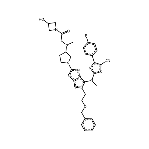 CN(c1nc(-c2ccc(F)cc2)c(C#N)s1)c1c(CCOCc2ccccc2)nc2sc(N3CCC(N(C)CC(=O)N4CC(O)C4)C3)nn12